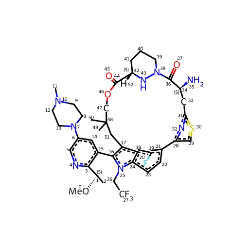 CO[C@@H](C)c1ncc(N2CCN(C)CC2)cc1-c1c2c3c(F)c(ccc3n1CC(F)(F)F)-c1csc(n1)C[C@H](N)C(=O)N1CCC[C@H](N1)C(=O)OCC(C)(C)C2